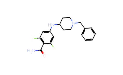 NC(=O)c1c(F)cc(NC2CCN(Cc3ccccc3)CC2)cc1F